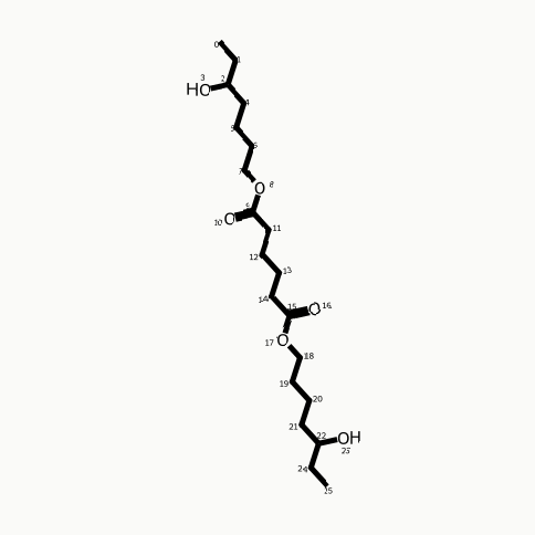 CCC(O)CCCCOC(=O)CCCCC(=O)OCCCCC(O)CC